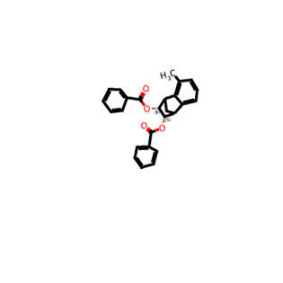 Cc1cccc2c1C1CC2[C@H](OC(=O)c2ccccc2)[C@@H]1OC(=O)c1ccccc1